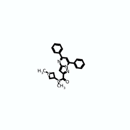 CN1CC(N(C)C(=O)c2cc3nc(-c4ccccc4)cc(-c4ccccc4)n3n2)C1